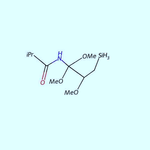 COC(C[SiH3])C(NC(=O)C(C)C)(OC)OC